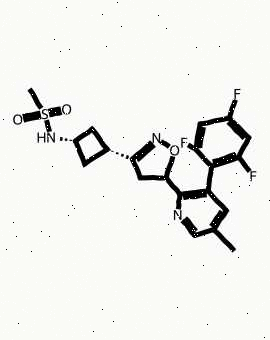 Cc1cnc(C2CC([C@H]3C[C@@H](NS(C)(=O)=O)C3)=NO2)c(-c2c(F)cc(F)cc2F)c1